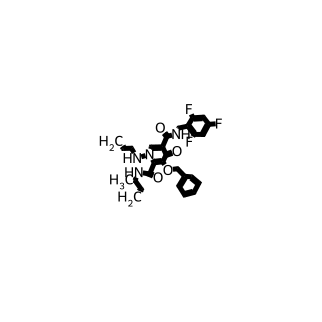 C=CCNn1cc(C(=O)NCc2c(F)cc(F)cc2F)c(=O)c(OCc2ccccc2)c1C(=O)NC(C)C=C